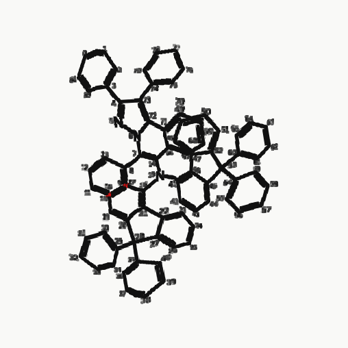 c1ccc(-c2nn3c(-c4ccccc4)c(N(c4cccc5c4-c4ccccc4C5(c4ccccc4)c4ccccc4)c4cccc5c4-c4ccccc4C5(c4ccccc4)c4ccccc4)c4ccccc4c3c2-c2ccccc2)cc1